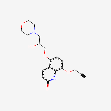 C#CCOc1ccc(OCC(O)CN2CCOCC2)c2ccc(=O)[nH]c12